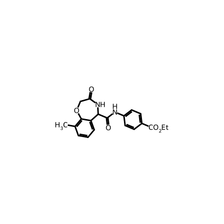 CCOC(=O)c1ccc(NC(=O)C2NC(=O)COc3c(C)cccc32)cc1